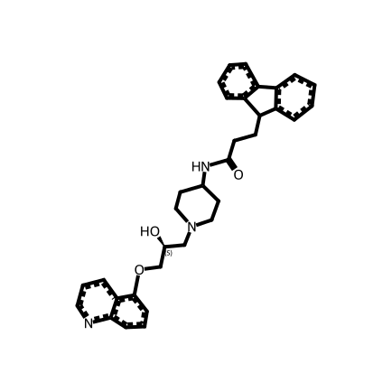 O=C(CCC1c2ccccc2-c2ccccc21)NC1CCN(C[C@H](O)COc2cccc3ncccc23)CC1